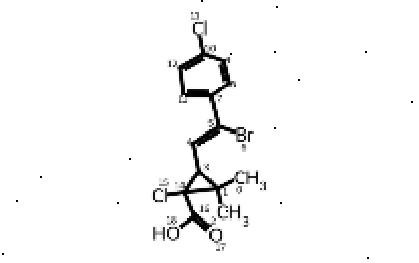 CC1(C)C(C=C(Br)c2ccc(Cl)cc2)C1(Cl)C(=O)O